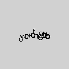 CC(=O)N1CCN(c2ccc(CN3CCCC(c4ccccc4)S3(O)O)c(F)c2)CC1